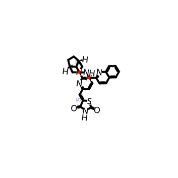 O=C1NC(=O)/C(=C/c2ccnc(N3C[C@H]4CC[C@@H](C3)C4CNCc3ccc4ccccc4n3)n2)S1